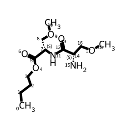 CCCCOC(=O)[C@H](COC)NC(=O)[C@@H](N)COC